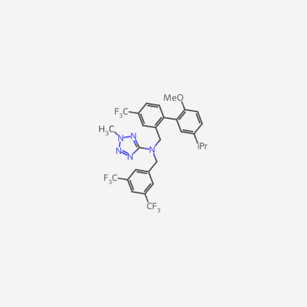 COc1ccc(C(C)C)cc1-c1ccc(C(F)(F)F)cc1CN(Cc1cc(C(F)(F)F)cc(C(F)(F)F)c1)c1nnn(C)n1